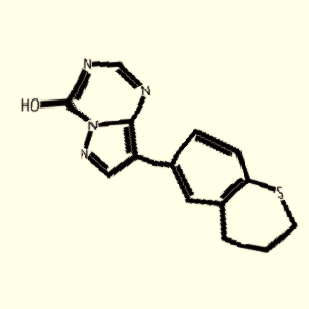 Oc1ncnc2c(-c3ccc4c(c3)CCCS4)cnn12